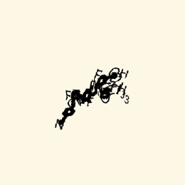 CC1(C)COC[C@H]1n1c(Cc2c(F)cc(-c3ccc(F)c(OCc4ccc(C#N)cc4)n3)c(F)c2F)nc2c(F)cc(C(=O)O)cc21